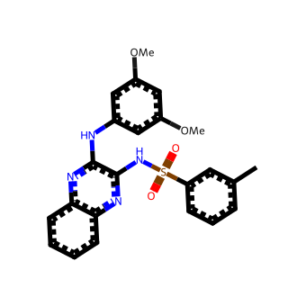 COc1cc(Nc2nc3ccccc3nc2NS(=O)(=O)c2cccc(C)c2)cc(OC)c1